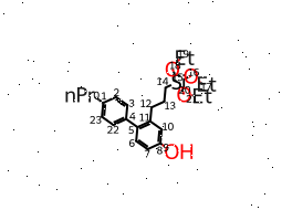 CCCc1ccc(-c2ccc(O)cc2CCC[Si](OCC)(OCC)OCC)cc1